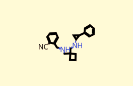 N#Cc1ccccc1CNCC1(CN[C@H]2CC2c2ccccc2)CCC1